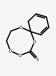 S=C1OOCCOC2(C=CC=CC2)O1